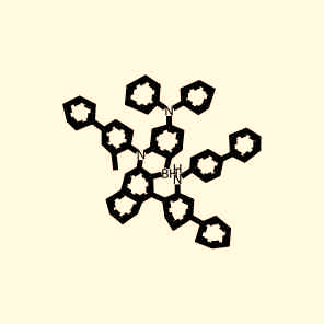 Cc1cc(-c2ccccc2)ccc1N1c2cc(N(c3ccccc3)c3ccccc3)ccc2Bc2c1cc1ccccc1c2-c1ccc(-c2ccccc2)cc1Nc1ccc(-c2ccccc2)cc1